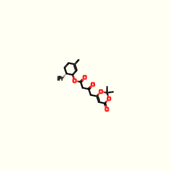 CC1=C[C@@H](OC(=O)CC(=O)CC2=CC(=O)OC(C)(C)O2)[C@H](C(C)C)CC1